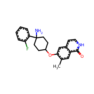 Cc1cc2c(=O)[nH]ccc2cc1OC1CCC(N)(c2ccccc2F)CC1